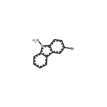 Nn1c2ccccc2c2cc(Br)ccc21